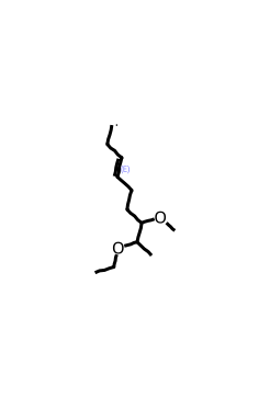 [CH2]C/C=C/CCC(OC)C(C)OCC